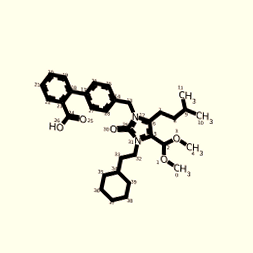 COC(OC)c1c(CCC(C)C)n(Cc2ccc(-c3ccccc3C(=O)O)cc2)c(=O)n1CCC1CCCCC1